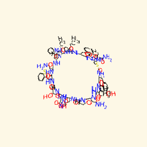 CCCC[C@H]1C(=O)N(C)[C@@H](CCCC)C(=O)N[C@@H](CC(C)C)C(=O)N[C@H](C(=O)NCC(N)=O)CSCC(=O)N[C@@H](Cc2ccc(O)cc2)C(=O)N(C)[C@@H](C)C(=O)N[C@@H](CC(N)=O)C(=O)N2CCC[C@H]2C(=O)N[C@@H](Cc2cnc[nH]2)C(=O)N[C@@H](CCC(=O)O)C(=O)N2C[C@H](O)C[C@H]2C(=O)N[C@@H](Cc2csc3ccccc23)C(=O)N[C@@H](CCN)C(=O)N[C@@H](Cc2c[nH]c3ccccc23)C(=O)N1C